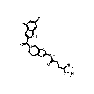 NC(CCC(=O)Nc1nc2c(s1)CN(C(=O)c1cc3c(F)cc(F)cc3[nH]1)CC2)C(=O)O